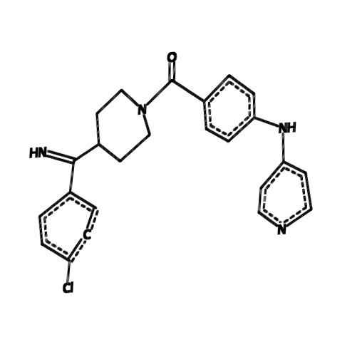 N=C(c1ccc(Cl)cc1)C1CCN(C(=O)c2ccc(Nc3ccncc3)cc2)CC1